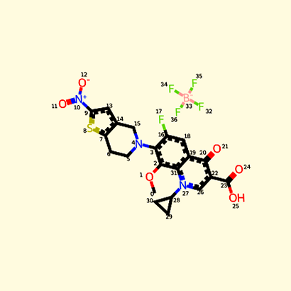 COc1c(N2CCc3sc([N+](=O)[O-])cc3C2)c(F)cc2c(=O)c(C(=O)O)cn(C3CC3)c12.F[B-](F)(F)F